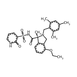 CCOc1cccc2c1CN(Cc1c(C)cc(C)cc1C)[C@@]2(C)C(=O)NS(=O)(=O)c1ccc[nH]c1=O